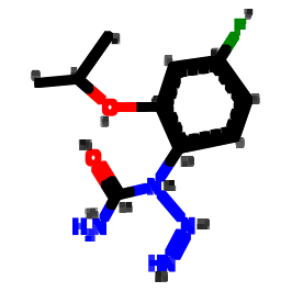 CC(C)Oc1cc(F)ccc1N(N=N)C(N)=O